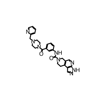 O=C(Nc1cccc(C(=O)N2CCN(Cc3ccccn3)CC2)c1)N1CCc2c(cnc3[nH]ncc23)C1